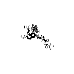 CCCCN1c2cc(NS(=O)(=O)C(F)(F)F)c(N=Nc3nnc(C(=O)OC(C)C)s3)cc2CCC1C